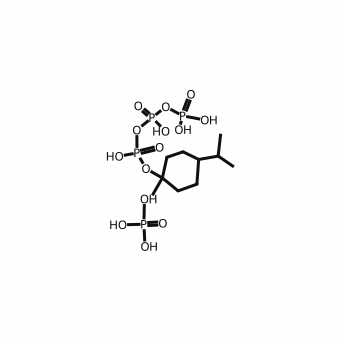 CC(C)C1CCC(C)(OP(=O)(O)OP(=O)(O)OP(=O)(O)O)CC1.O=P(O)(O)O